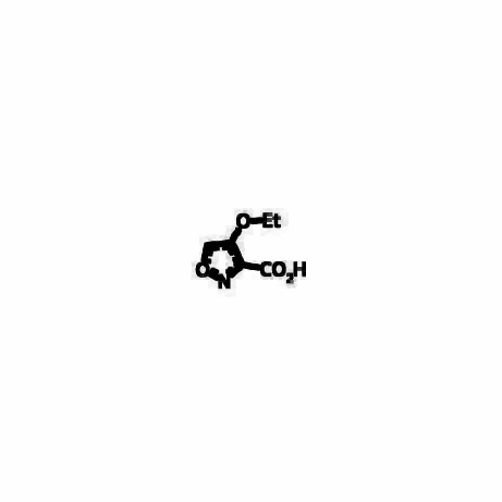 CCOc1conc1C(=O)O